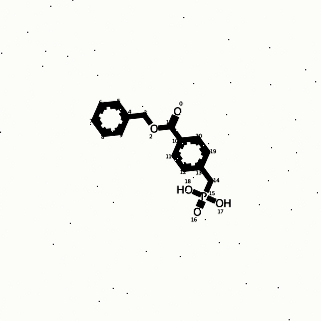 O=C(OCc1ccccc1)c1ccc(CP(=O)(O)O)cc1